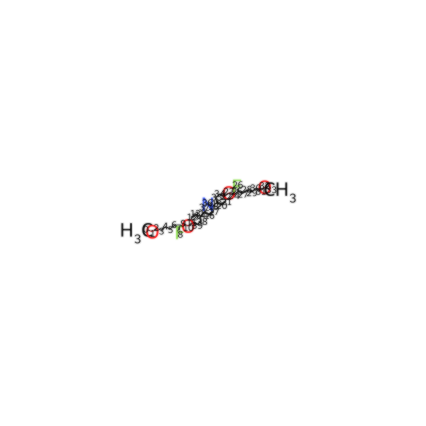 COCCCCCC(F)COc1ccc(-c2ccc(-c3ccc(OCC(F)CCCCCOC)cc3)nc2)cc1